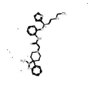 CCNCC[C@@H](Oc1ccccc1NC(=O)CN1CCC(c2ccccc2)(N(C)C)CC1)c1cccs1